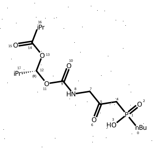 CCCCP(=O)(O)CC(=O)CNC(=O)O[C@@H](OC(=O)C(C)C)C(C)C